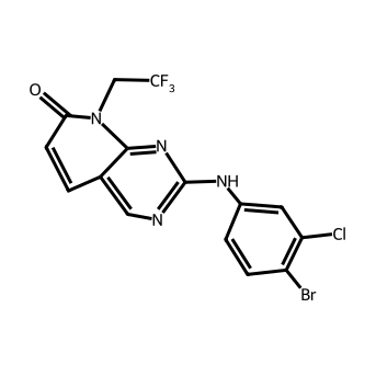 O=c1ccc2cnc(Nc3ccc(Br)c(Cl)c3)nc2n1CC(F)(F)F